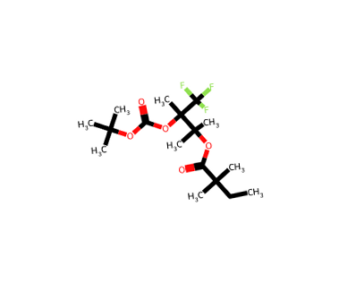 CCC(C)(C)C(=O)OC(C)(C)C(C)(OC(=O)OC(C)(C)C)C(F)(F)F